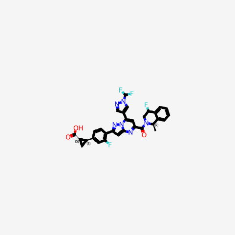 C[C@@H]1c2ccccc2C(F)CN1C(=O)c1cc(-c2cnn(C(F)F)c2)n2nc(-c3ccc([C@H]4C[C@@H]4C(=O)O)cc3F)cc2n1